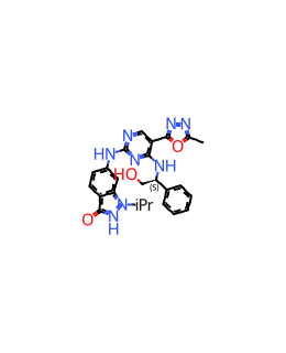 Cc1nnc(-c2cnc(Nc3ccc4c(=O)[nH]n(C(C)C)c4c3)nc2N[C@H](CO)c2ccccc2)o1